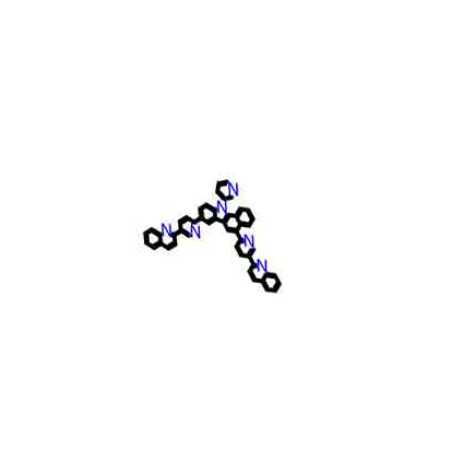 c1cncc(-n2c3ccc(-c4ccc(-c5ccc6ccccc6n5)cn4)cc3c3cc(-c4ccc(-c5ccc6ccccc6n5)cn4)c4ccccc4c32)c1